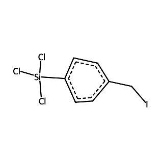 Cl[Si](Cl)(Cl)c1ccc(CI)cc1